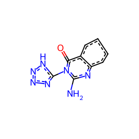 Nc1nc2ccccc2c(=O)n1-c1nnn[nH]1